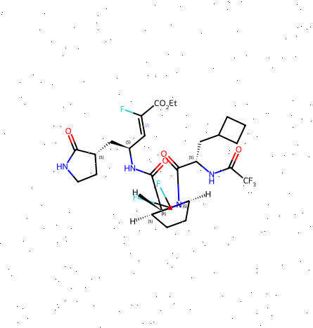 CCOC(=O)/C(F)=C/[C@H](C[C@@H]1CCNC1=O)NC(=O)[C@H]1[C@@H]2CC[C@@H](CC2(F)F)N1C(=O)[C@H](CC1CCC1)NC(=O)C(F)(F)F